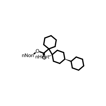 CCCCCCCCCOC(=O)C1([C@]2(CCCCCCC)CC[C@H](C3CCCCC3)CC2)CCCCC1